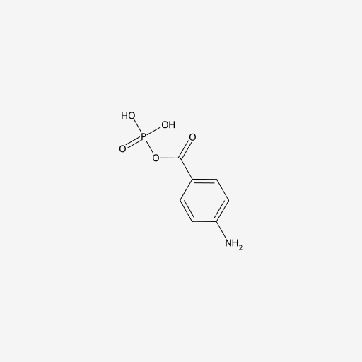 Nc1ccc(C(=O)OP(=O)(O)O)cc1